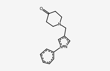 O=C1CCN(Cc2cnn(-c3ccccc3)c2)CC1